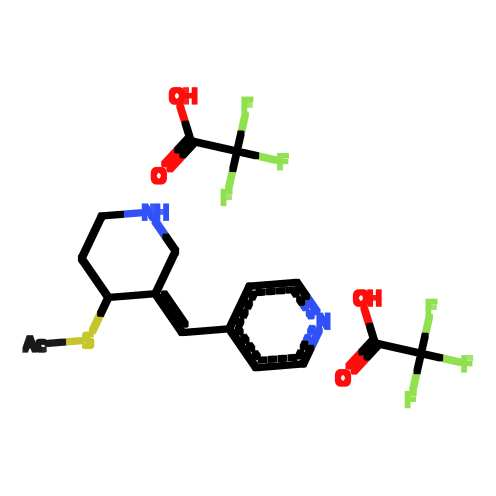 CC(=O)SC1CCNC/C1=C\c1ccncc1.O=C(O)C(F)(F)F.O=C(O)C(F)(F)F